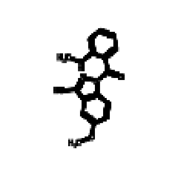 CNc1ccccc1C(=O)n1nc(O)c2cc(OC)ccc21